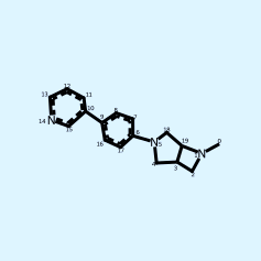 CN1CC2CN(c3ccc(-c4cccnc4)cc3)CC21